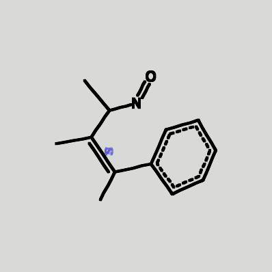 C/C(=C(\C)C(C)N=O)c1ccccc1